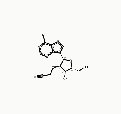 C#CCO[C@@H]1[C@H](O)[C@@H](CO)O[C@H]1n1cnc2c(N)ncnc21